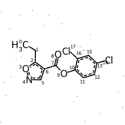 CCc1oncc1C(=O)Oc1ccc(Cl)cc1Cl